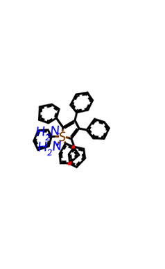 NS1(N)(c2ccccc2)(c2ccccc2)C(c2ccccc2)=C(c2ccccc2)C(c2ccccc2)=C1c1ccccc1